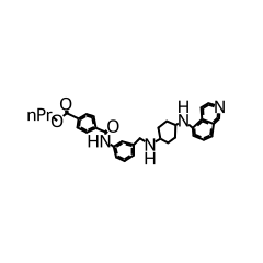 CCCOC(=O)c1ccc(C(=O)Nc2cccc(CNC3CCC(Nc4cccc5cnccc45)CC3)c2)cc1